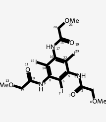 COCC(=O)Nc1c(I)c(NC(=O)COC)c(I)c(NC(=O)COC)c1I